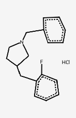 Cl.Fc1ccccc1CC1CCN(Cc2ccccc2)C1